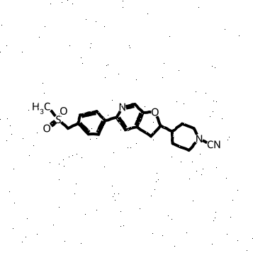 CS(=O)(=O)Cc1ccc(-c2cc3c(cn2)OC(C2CCN(C#N)CC2)C3)cc1